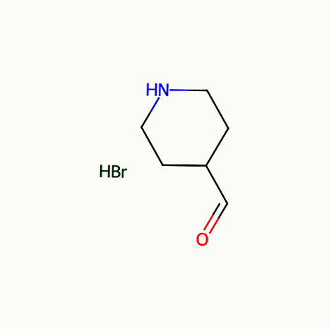 Br.O=CC1CCNCC1